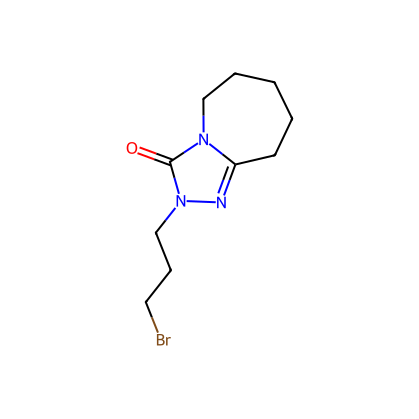 O=c1n(CCCBr)nc2n1CCCCC2